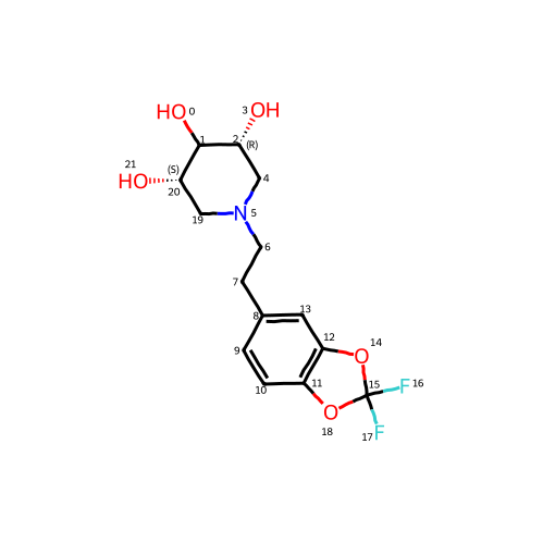 OC1[C@H](O)CN(CCc2ccc3c(c2)OC(F)(F)O3)C[C@@H]1O